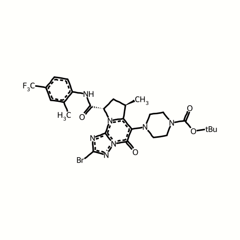 Cc1cc(C(F)(F)F)ccc1NC(=O)[C@@H]1C[C@@H](C)c2c(N3CCN(C(=O)OC(C)(C)C)CC3)c(=O)n3nc(Br)nc3n21